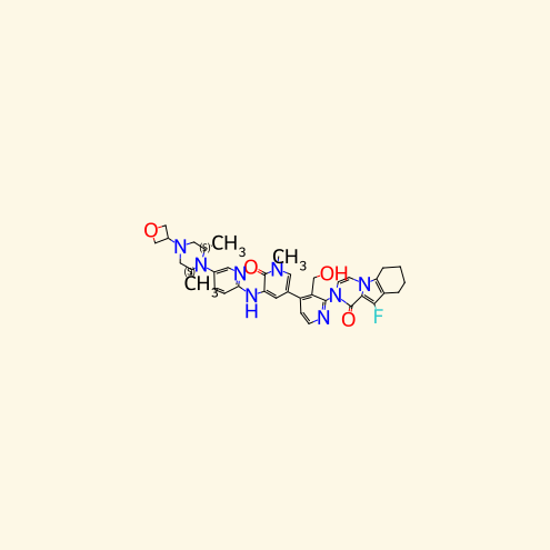 C[C@H]1CN(C2COC2)C[C@H](C)N1c1ccc(Nc2cc(-c3ccnc(-n4ccn5c6c(c(F)c5c4=O)CCCC6)c3CO)cn(C)c2=O)nc1